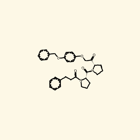 O=C(COc1ccc(OCc2ccccc2)cc1)[C@@H]1CCCN1C(=O)[C@@H]1CCCN1C(=O)CCc1ccccc1